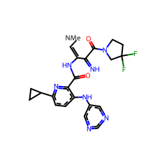 CN/C=C(/NC(=O)c1nc(C2CC2)ccc1Nc1cncnc1)C(=N)C(=O)N1CCC(F)(F)C1